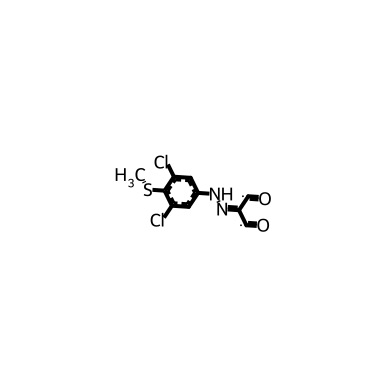 CSc1c(Cl)cc(NN=C([C]=O)[C]=O)cc1Cl